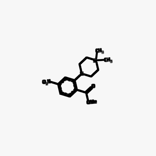 COC(=O)c1ccc([N+](=O)[O-])cc1N1CC[Si](C)(C)CC1